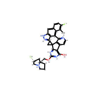 CCc1c(F)ccc2cc3[nH]ncc3c(-c3nccc4c3C3(CC3)c3nc(OC[C@@]56CCCN5C[C@H](F)C6)nc(O)c3-4)c12